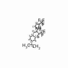 C=C(C)c1ccc2c(c1)SC(C(F)(F)F)C(n1ccc(C(F)(F)F)n1)=C2